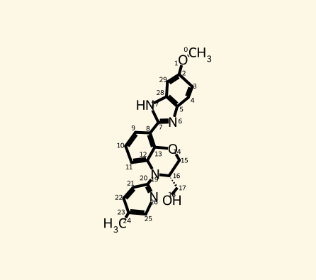 COc1ccc2nc(-c3cccc4c3OC[C@H](CO)N4c3ccc(C)cn3)[nH]c2c1